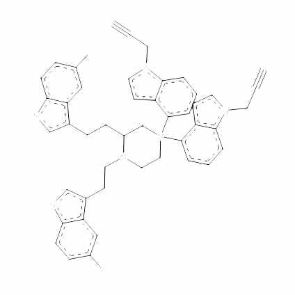 C#CCn1ccc2c([N+]3(c4cccc5c4ccn5CC#C)CCN(CCc4c[nH]c5ccc(F)cc45)C(CCc4c[nH]c5ccc(F)cc45)C3)cccc21